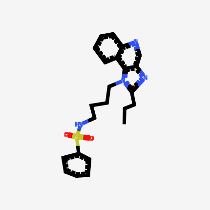 CCCc1nc2cnc3ccccc3c2n1CCCCNS(=O)(=O)c1ccccc1